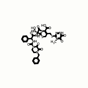 Cn1c(SCC2=C(C(=O)O)N3C(=O)[C@@](NO)(NC(=O)C(NC(=O)N4CCN(Cc5ccccc5)C(=O)C4=O)c4ccccc4)[C@@H]3SC2)n[nH]c(=O)c1=O